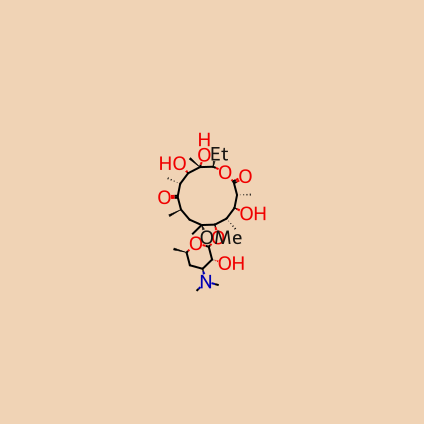 CC[C@H]1OC(=O)[C@H](C)[C@@H](O)[C@H](C)[C@@H](OC2O[C@H](C)C[C@H](N(C)C)[C@H]2O)[C@@](C)(OC)C[C@@H](C)C(=O)[C@H](C)[C@@H](O)[C@]1(C)O